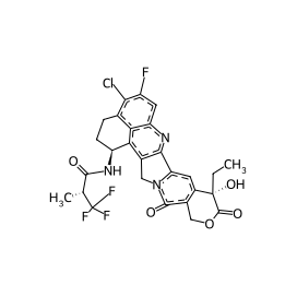 CC[C@@]1(O)C(=O)OCc2c1cc1n(c2=O)Cc2c-1nc1cc(F)c(Cl)c3c1c2[C@@H](NC(=O)[C@@H](C)C(F)(F)F)CC3